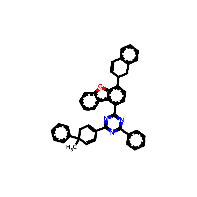 CC1(c2ccccc2)C=CC(c2nc(-c3ccccc3)nc(-c3ccc(C4C=Cc5ccccc5C4)c4oc5ccccc5c34)n2)=CC1